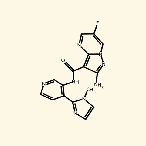 Cn1ccnc1-c1ccncc1NC(=O)c1c(N)nn2cc(F)cnc12